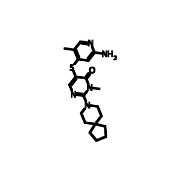 Cc1cnc(N)cc1Sc1cnc(N2CCC3(CCCC3)CC2)n(C)c1=O